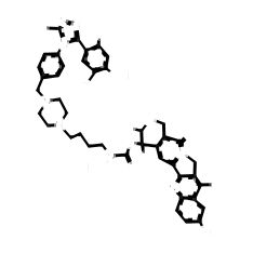 CCc1c2c(nc3ccc(O)cc13)-c1cc3c(c(=O)n1C2)COC(O)C3(CC)OC(=O)N(C)CCCCN1CCN(Cc2ccc(-n3c(O)nnc3-c3cc(C(C)C)c(O)cc3O)cc2)CC1